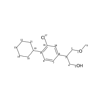 COCC(CO)c1ccc(C2CCCCC2)c(Cl)c1